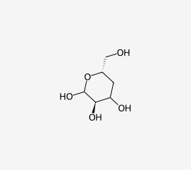 OC[C@@H]1CC(O)[C@@H](O)C(O)O1